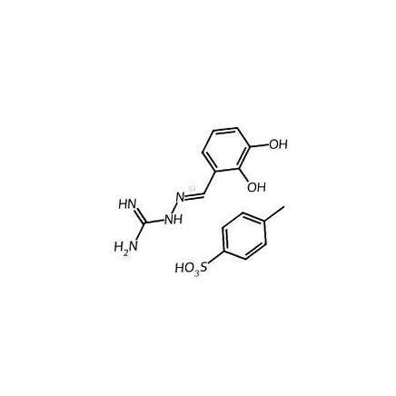 Cc1ccc(S(=O)(=O)O)cc1.N=C(N)N/N=C/c1cccc(O)c1O